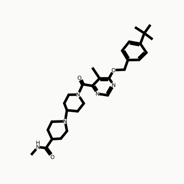 CNC(=O)C1CCN(C2CCN(C(=O)c3ncnc(OCc4ccc(C(C)(C)C)cc4)c3C)CC2)CC1